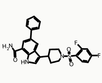 NC(=O)c1cc(-c2ccccc2)cc2c(C3CCN(S(=O)(=O)c4ccc(F)cc4F)CC3)c[nH]c12